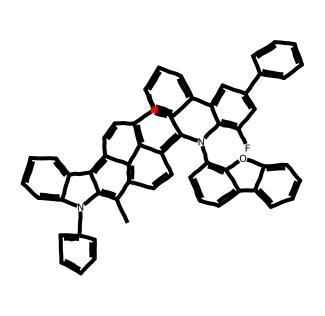 Cc1cc(N(c2c(F)cc(-c3ccccc3)cc2-c2ccccc2)c2cccc3c2oc2ccccc23)c2ccc3c(C)c4c(c5ccc1c2c35)c1ccccc1n4-c1ccccc1